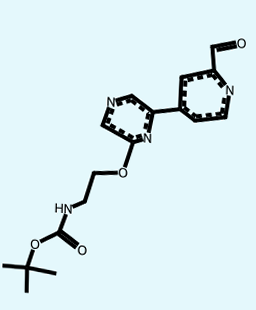 CC(C)(C)OC(=O)NCCOc1cncc(-c2ccnc(C=O)c2)n1